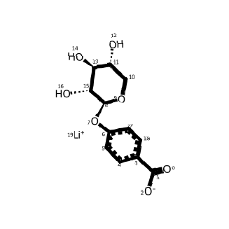 O=C([O-])c1ccc(O[C@@H]2OC[C@@H](O)[C@H](O)[C@H]2O)cc1.[Li+]